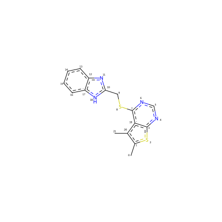 Cc1sc2ncnc(SCc3nc4ccccc4[nH]3)c2c1C